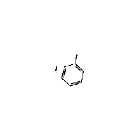 C[CH2][Mg+].[O-]c1ccccc1